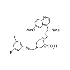 CNC(CC[C@@H]1CCN(CC#Cc2cc(F)cc(F)c2)C[C@@H]1C(=O)O)c1ccnc2ccc(OC)cc12